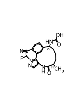 C[C@@H]1CCC[C@H](NC(=O)O)c2ccc(C#N)c(c2)-c2c(cnn2C(F)F)NC1=O